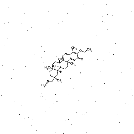 C=NC[C@]1(C)CC[C@]2(C)CC[C@]3(C)C4=CC=C5C(=CC(=O)C(OCC)=C5C)[C@]4(C)CC[C@@]3(C)[C@@H]2C1